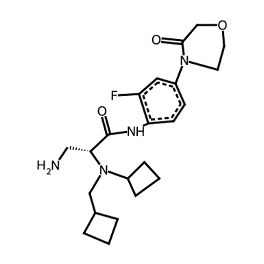 NC[C@H](C(=O)Nc1ccc(N2CCOCC2=O)cc1F)N(CC1CCC1)C1CCC1